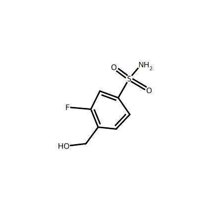 NS(=O)(=O)c1ccc(CO)c(F)c1